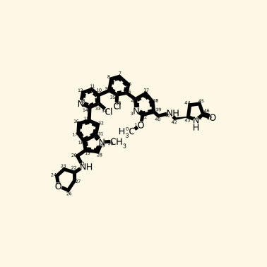 COc1nc(-c2cccc(-c3ccnc(-c4ccc5c(CNC6CCOCC6)cn(C)c5c4)c3Cl)c2Cl)ccc1CNC[C@H]1CCC(=O)N1